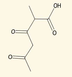 CC(=O)CC(=O)C(C)C(=O)O